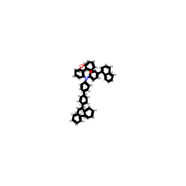 c1ccc2c(-c3ccc(N(c4ccc(-c5ccc(-c6cc7ccccc7c7ccccc67)cc5)cc4)c4cccc5oc6ccccc6c45)cc3)cccc2c1